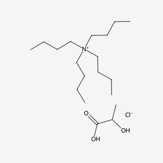 CC(O)C(=O)O.CCCC[N+](CCCC)(CCCC)CCCC.[Cl-]